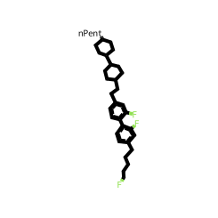 CCCCCC1CCC(C2CCC(CCc3ccc(-c4ccc(CCCCCF)cc4F)c(F)c3)CC2)CC1